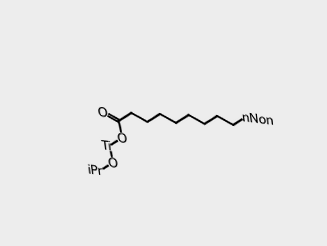 CCCCCCCCCCCCCCCCCC(=O)[O][Ti][O]C(C)C